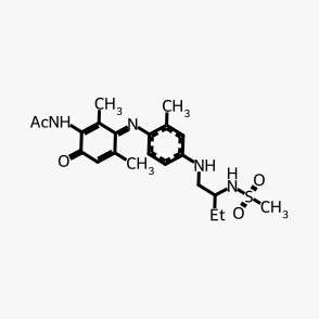 CCC(CNc1ccc(N=C2C(C)=CC(=O)C(NC(C)=O)=C2C)c(C)c1)NS(C)(=O)=O